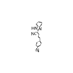 CN(C)c1ccc(C=CC=C(C#N)c2nc3ccccc3[nH]2)cc1